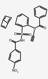 C#CN(C(=O)c1ccccc1)c1ccccc1S(=O)(=O)NC(=O)c1ccc([N+](=O)[O-])cc1.c1cc2ccc1-2